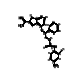 N=C(N)c1cc2c(OC(COC(=O)Nc3ccc([N+](=O)[O-])cc3F)c3ccccc3)cccc2s1